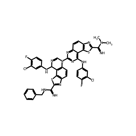 CN(C)C(=N)c1nc2ccc3nc(N4C=NC(Nc5ccc(F)c(Cl)c5)c5c4ccc4nc(C(=N)NCc6ccccc6)sc54)nc(Nc4ccc(F)c(Cl)c4)c3c2s1